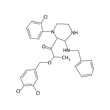 CC(OCc1ccc(Cl)c(Cl)c1)C(=O)C1C(NCc2ccccc2)NCCN1c1ccccc1Cl